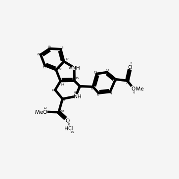 COC(=O)c1ccc(C2NC(C(=O)OC)Cc3c2[nH]c2ccccc32)cc1.Cl